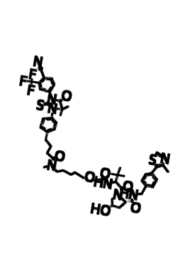 Cc1ncsc1-c1ccc(CNC(=O)[C@@H]2C[C@@H](O)CN2C(=O)[C@@H](NC(=O)COCCCCCN(C)C(=O)CCCc2ccc(N3C(=S)N(c4ccc(C#N)c(C(F)(F)F)c4)C(=O)C3(C)C)cc2)C(C)(C)C)cc1